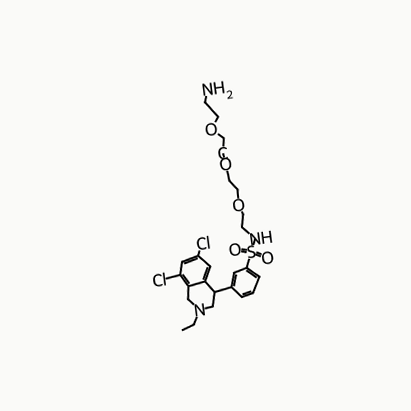 CCN1Cc2c(Cl)cc(Cl)cc2C(c2cccc(S(=O)(=O)NCCOCCOCCOCCN)c2)C1